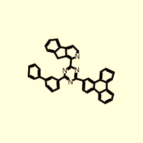 c1ccc(-c2cccc(-c3nc(-c4ccc5c6ccccc6c6ccccc6c5c4)nc(-c4nccc5c4Cc4ccccc4-5)n3)c2)cc1